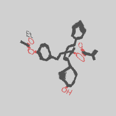 C=C(C)C(=O)OC(C)(C)C(C=Cc1ccccc1)(C=Cc1ccc(O)cc1)C=Cc1ccc(OC(C)OCC)cc1